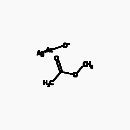 CC(=O)[O-].COC(C)=O.[Ag+]